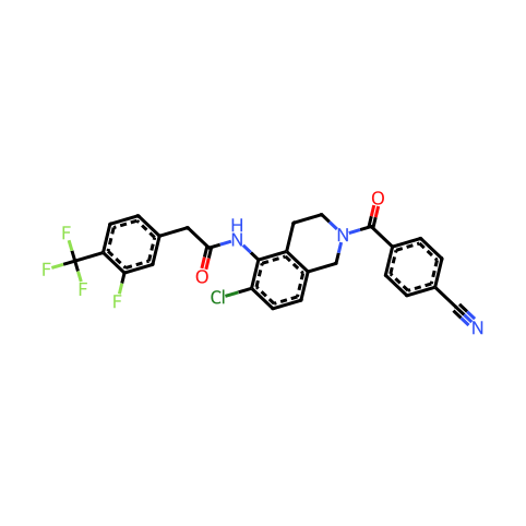 N#Cc1ccc(C(=O)N2CCc3c(ccc(Cl)c3NC(=O)Cc3ccc(C(F)(F)F)c(F)c3)C2)cc1